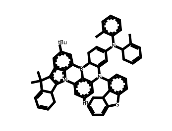 CC1=CC=CCC1N(C1=CCC2B3c4c(cc(C(C)(C)C)cc4-n4c5c(c6cc(C(C)(C)C)cc3c64)C(C)(C)C3=CC=CCC35)N(c3cccc4c3C3CC=CC=C3S4)C2=C1)c1ccccc1C